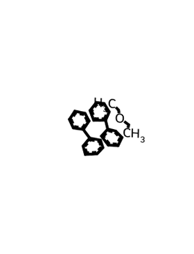 CCOCC.c1ccc(-c2ccccc2)cc1.c1ccc(-c2ccccc2)cc1